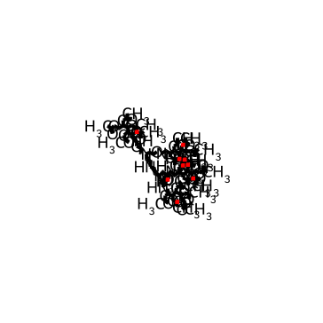 CC(=O)OCC(OC(C)=O)C(OC(C)=O)C(OC(C)=O)C(CNOCCN(CCNCCN(CC(=O)NCC(OC(C)=O)C(OC(C)=O)C(OC(C)=O)C(COC(C)=O)OC(C)=O)CC(=O)NCC(OC(C)=O)C(OC(C)=O)C(OC(C)=O)C(COC(C)=O)OC(C)=O)CCONCC(OC(C)=O)C(OC(C)=O)C(OC(C)=O)C(COC(C)=O)OC(C)=O)OC(C)=O